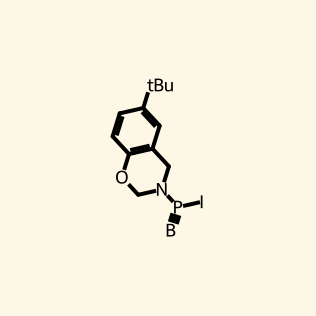 B#P(I)N1COc2ccc(C(C)(C)C)cc2C1